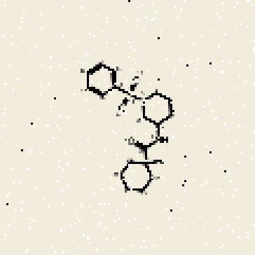 CC1(C(=O)NC2CCCN(S(=O)(=O)c3ccccc3)C2)CCCCC1